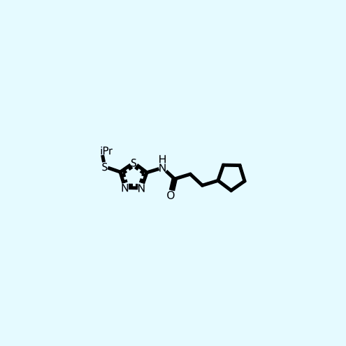 CC(C)Sc1nnc(NC(=O)CCC2CCCC2)s1